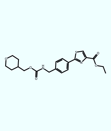 CCOC(=O)c1csc(-c2ccc(CNC(=O)OCC3CCOCC3)cc2)n1